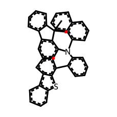 CC1(C)c2ccccc2-c2cccc(N(c3ccccc3-c3cccc4c3sc3ccccc34)c3cccc4ccccc34)c21